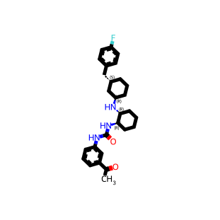 CC(=O)c1cccc(NC(=O)N[C@@H]2CCCC[C@H]2N[C@@H]2CCC[C@@H](Cc3ccc(F)cc3)C2)c1